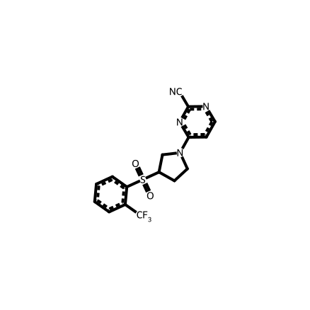 N#Cc1nccc(N2CCC(S(=O)(=O)c3ccccc3C(F)(F)F)C2)n1